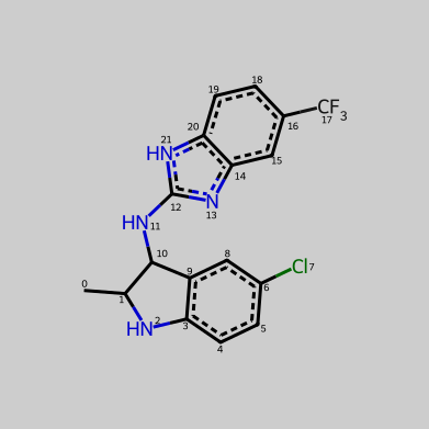 CC1Nc2ccc(Cl)cc2C1Nc1nc2cc(C(F)(F)F)ccc2[nH]1